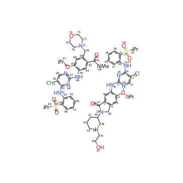 CC(C)Oc1cc2c(cc1Nc1ncc(Cl)c(Nc3ccccc3S(=O)(=O)C(C)C)n1)C(=O)N([C@@H]1CCCN(CCO)C1)C2.CNC(=O)c1cc(Nc2ncc(Cl)c(Nc3ccccc3S(=O)(=O)C(C)C)n2)c(OC(C)C)cc1CN1CCOCC1